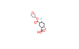 O=C(OC1CCOC1)c1cc2c(cc1F)COB2O